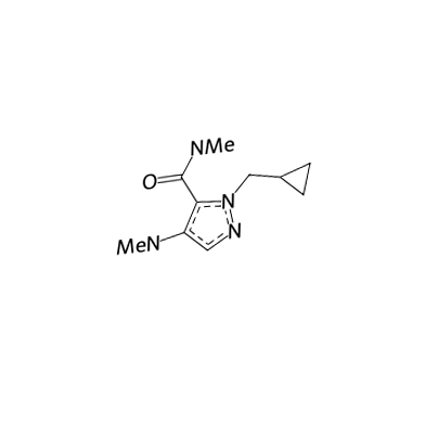 CNC(=O)c1c(NC)cnn1CC1CC1